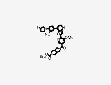 COc1cc(C(=O)N2CC3CN(C(=O)OC(C)(C)C)CC3C2)cnc1-c1cc2nccc(-c3ccc(N4CC[C@@H](F)C4)c(C#N)c3)c2o1